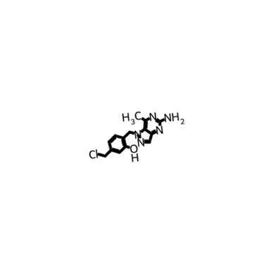 Cc1nc(N)nc2cnn(Cc3ccc(CCl)cc3O)c12